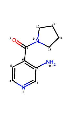 Nc1cnccc1C(=O)N1CCCC1